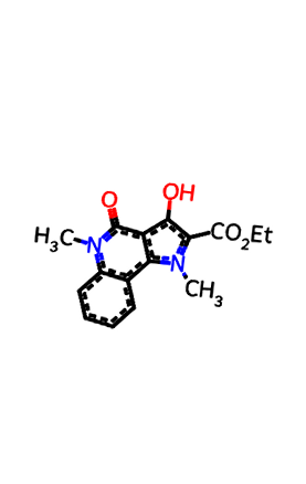 CCOC(=O)c1c(O)c2c(=O)n(C)c3ccccc3c2n1C